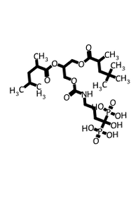 CC(C)CC(C)C(=O)OC(COC(=O)NCCCC(O)(P(=O)(O)O)P(=O)(O)O)COC(=O)C(C)CC(C)(C)C